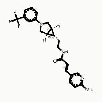 Nc1ccc(/C=C/C(=O)NCC[C@@H]2[C@H]3CN(c4cccc(C(F)(F)F)c4)C[C@@H]23)cn1